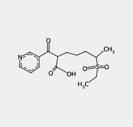 CCS(=O)(=O)C(C)CCCC(C(=O)O)C(=O)c1cccnc1